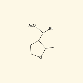 CCC(OC(C)=O)C1CCOC1C